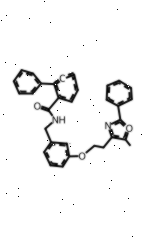 Cc1oc(-c2ccccc2)nc1CCOc1[c]c(CNC(=O)c2ccccc2-c2ccccc2)ccc1